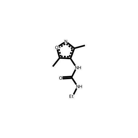 CCNC(=O)Nc1c(C)noc1C